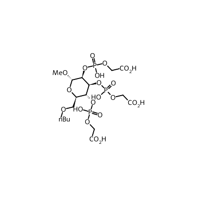 CCCCOC[C@H]1O[C@H](OC)[C@@H](OP(=O)(O)OCC(=O)O)[C@@H](OP(=O)(O)OCC(=O)O)[C@@H]1OP(=O)(O)OCC(=O)O